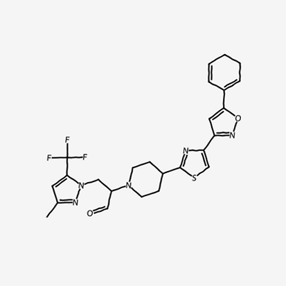 Cc1cc(C(F)(F)F)n(CC(C=O)N2CCC(c3nc(-c4cc(C5=CCCC=C5)on4)cs3)CC2)n1